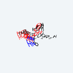 CC(C)C[C@H](NP(=O)(O)O[C@@H]1O[C@@H](C)[C@H](O)[C@@H](O)[C@H]1O)C(=O)N[C@@H](Cc1c[nH]c2ccccc12)C(=O)O.CCCCC[C@H](O)/C=C/[C@H]1O[C@H]2C[C@H](O2)[C@@H]1C/C=C\CCCC(=O)O